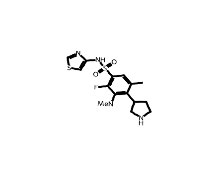 CNc1c(F)c(S(=O)(=O)Nc2cscn2)cc(C)c1C1CCNC1